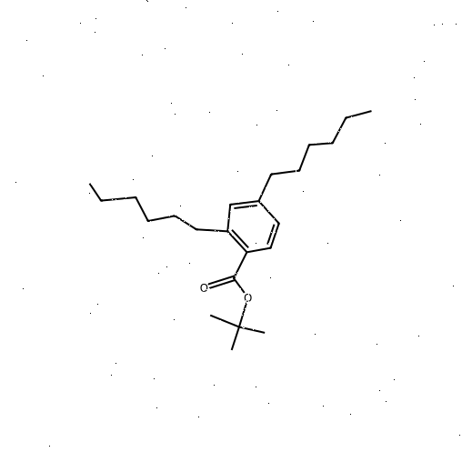 CCCCCCc1ccc(C(=O)OC(C)(C)C)c(CCCCCC)c1